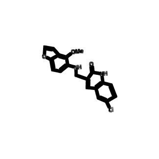 COc1c(NCc2cc3cc(Cl)ccc3[nH]c2=O)ccc2occc12